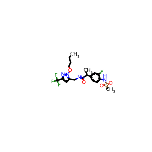 CCCCOn1nc(C(F)(F)F)cc1CNC(=O)C(C)c1ccc(NS(C)(=O)=O)c(F)c1